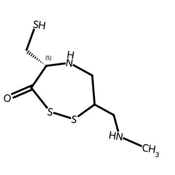 CNCC1CN[C@@H](CS)C(=O)SS1